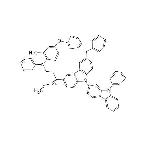 C=C/C=C(\CCN(c1ccccc1)c1ccc(Oc2ccccc2)cc1C)c1ccc2c(c1)c1cc(Cc3ccccc3)ccc1n2-c1ccc2c3ccccc3n(-c3ccccc3)c2c1